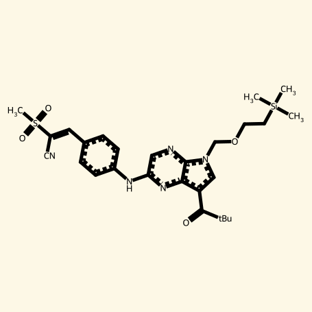 CC(C)(C)C(=O)c1cn(COCC[Si](C)(C)C)c2ncc(Nc3ccc(/C=C(\C#N)S(C)(=O)=O)cc3)nc12